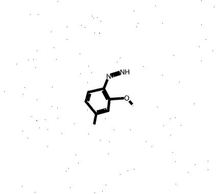 COc1cc(C)ccc1N=N